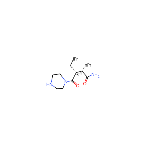 CCC[C@H](C(N)=O)[C@@H](CC(C)C)C(=O)N1CCNCC1